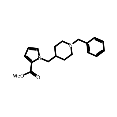 COC(=O)c1cccn1CC1CCN(Cc2ccccc2)CC1